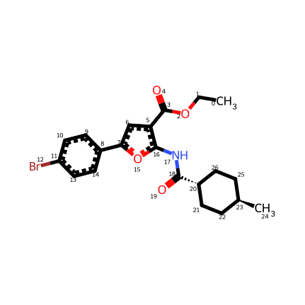 CCOC(=O)c1cc(-c2ccc(Br)cc2)oc1NC(=O)[C@H]1CC[C@H](C)CC1